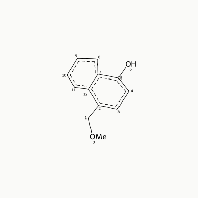 COCc1ccc(O)c2ccccc12